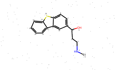 CCNCCC(O)c1ccc2sc3ccccc3c2c1